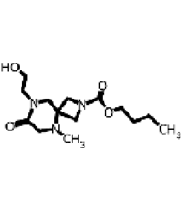 CCCCOC(=O)N1CC2(CN(CCO)C(=O)CN2C)C1